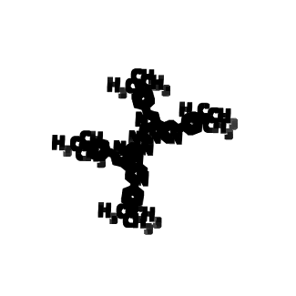 CC(C)(C)c1ccc(-c2cc3c4cc(-c5ccc(C(C)(C)C)cc5)nc5c6nc7c8nc(-c9ccc(C(C)(C)C)cc9)cc9c%10cc(-c%11ccc(C(C)(C)C)cc%11)ncc%10n(c7nc6n(c3cn2)c45)c98)cc1